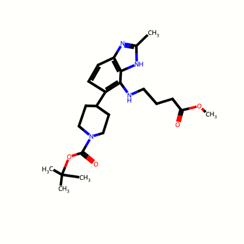 COC(=O)CCCNc1c(C2CCN(C(=O)OC(C)(C)C)CC2)ccc2nc(C)[nH]c12